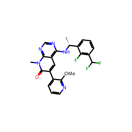 COc1ncccc1-c1cc2c(N[C@H](C)c3cccc(C(F)F)c3F)ncnc2n(C)c1=O